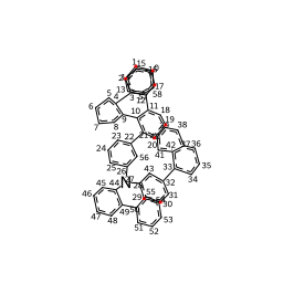 c1ccc(-c2ccccc2-c2c(-c3ccccc3)cccc2-c2cccc(N(c3cccc(-c4cccc5ccccc45)c3)c3ccccc3-c3ccccc3)c2)cc1